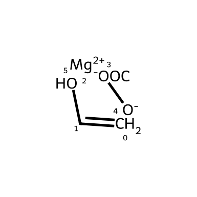 C=CO.O=C([O-])[O-].[Mg+2]